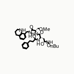 CCCCONC(=O)C[C@H](NC(=O)CCc1ccccc1)C(=O)N[C@@H](COC)C(=O)NCc1cccc2c1NCCC2